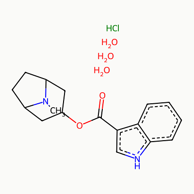 CN1C2CCC1CC(OC(=O)c1c[nH]c3ccccc13)C2.Cl.O.O.O